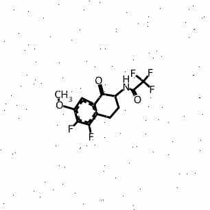 COc1cc2c(c(F)c1F)CCC(NC(=O)C(F)(F)F)C2=O